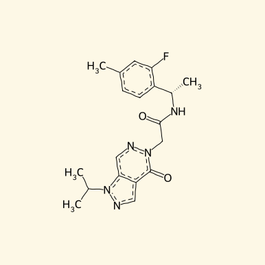 Cc1ccc([C@H](C)NC(=O)Cn2ncc3c(cnn3C(C)C)c2=O)c(F)c1